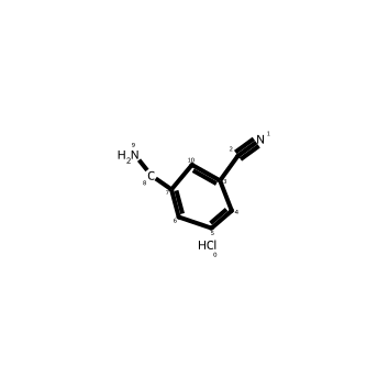 Cl.N#Cc1cccc(CN)c1